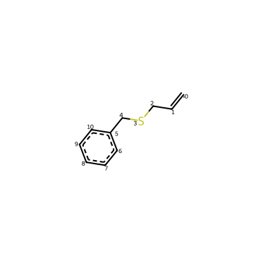 [CH]=CCSCc1ccccc1